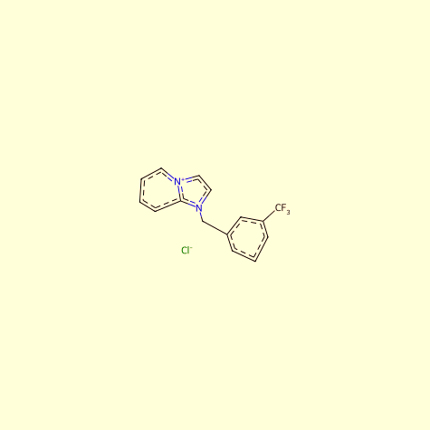 FC(F)(F)c1cccc(Cn2cc[n+]3ccccc23)c1.[Cl-]